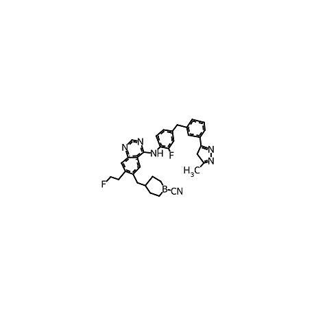 CC1=NN=C(c2cccc(Cc3ccc(Nc4ncnc5cc(CCF)c(CC6CCB(C#N)CC6)cc45)c(F)c3)c2)C1